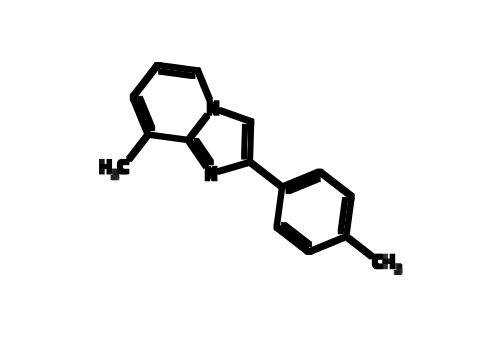 Cc1ccc(-c2cn3cccc(C)c3n2)cc1